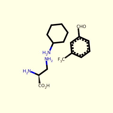 NC1CCCCC1.NC[C@H](N)C(=O)O.O=Cc1cccc(C(F)(F)F)c1